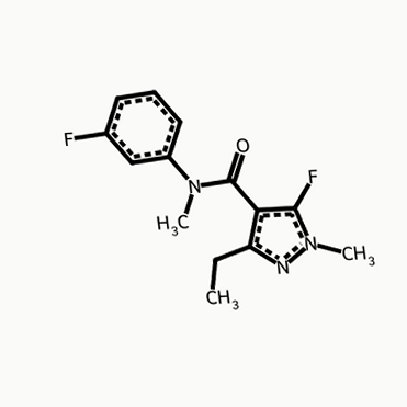 CCc1nn(C)c(F)c1C(=O)N(C)c1cccc(F)c1